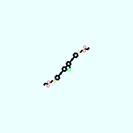 C=CC(=O)OCCSc1ccc(C#Cc2ccc(-c3ccc(C#Cc4ccc(SCCOC(=O)C=C)cc4)cc3Cl)c(C)c2)cc1